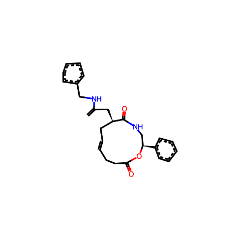 C=C(C[C@@H]1C/C=C/CCC(=O)O[C@H](c2ccccc2)CNC1=O)NCc1ccccc1